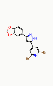 Brc1cc(-c2cc(-c3ccc4c(c3)OCO4)n[nH]2)cc(Br)n1